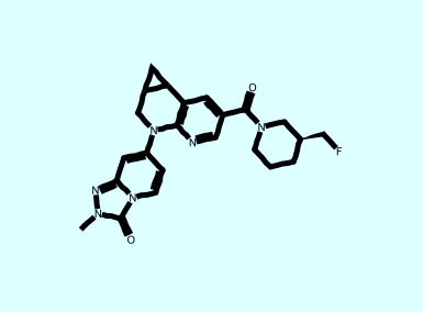 Cn1nc2cc(N3CC4CC4c4cc(C(=O)N5CCC[C@H](CF)C5)cnc43)ccn2c1=O